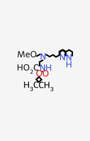 COCCN(CCCCc1ccc2c(n1)NCCC2)CCC(NC(=O)OC1CC(C)(C)C1)C(=O)O